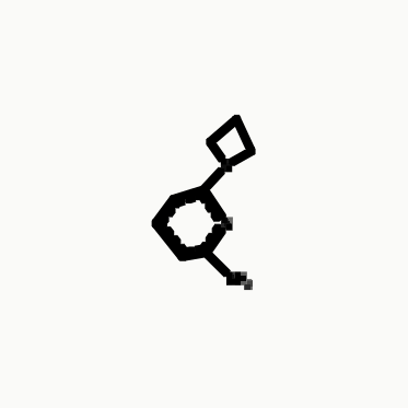 Nc1cccc(N2CCC2)n1